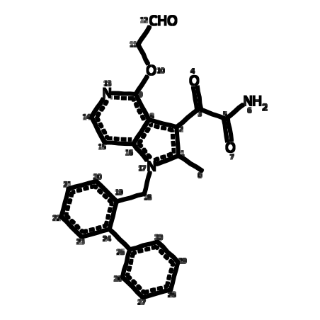 Cc1c(C(=O)C(N)=O)c2c(OCC=O)nccc2n1Cc1ccccc1-c1ccccc1